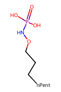 CCCCCCCCONP(=O)(O)O